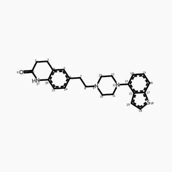 O=C1CCc2cc(CCN3CCN(c4cccc5sccc45)CC3)ccc2N1